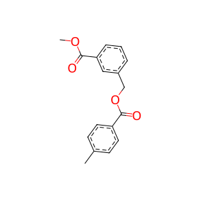 COC(=O)c1cccc(COC(=O)c2ccc(C)cc2)c1